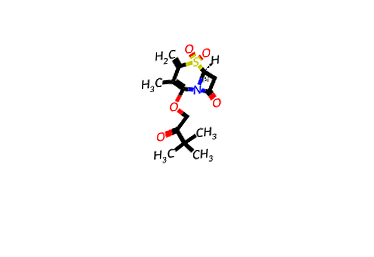 C=C1C(C)=C(OCC(=O)C(C)(C)C)N2C(=O)C[C@@H]2S1(=O)=O